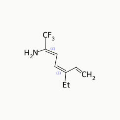 C=C/C(=C\C=C(/N)C(F)(F)F)CC